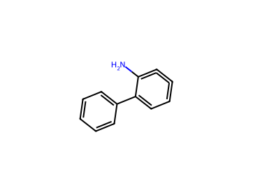 NC1=C=C=CC=C1c1ccccc1